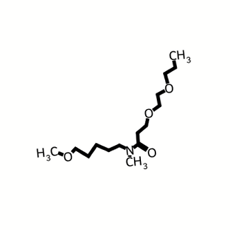 CCCOCCOCCC(=O)N(C)CCCCCOC